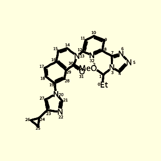 CCC(OC)n1cnnc1-c1cccc(-n2ccc3ccc(-n4cnc(C5CC5)c4)cc3c2=O)n1